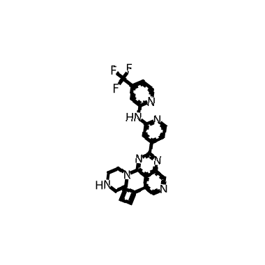 FC(F)(F)c1ccnc(Nc2cc(-c3nc(N4CCNCC4)c4c(C5=CC=C5)cncc4n3)ccn2)c1